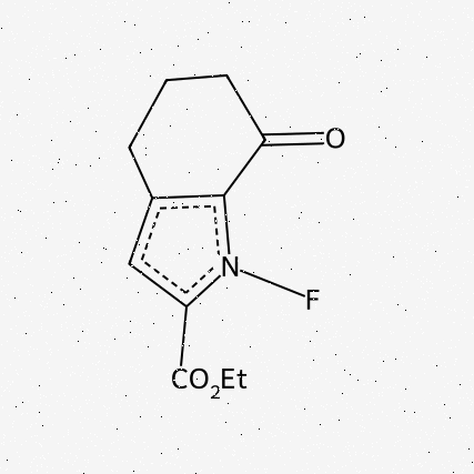 CCOC(=O)c1cc2c(n1F)C(=O)CCC2